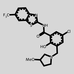 COC1CCN(Cc2cc(Cl)cc(C(=O)Nc3nc4ccc(C(F)(F)F)cc4s3)c2O)C1